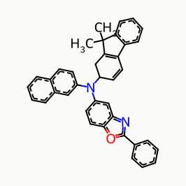 CC1(C)C2=C(C=CC(N(c3ccc4ccccc4c3)c3ccc4oc(-c5ccccc5)nc4c3)C2)c2ccccc21